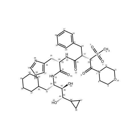 CS(=O)(=O)[C@H](C(=O)N1CCOCC1)C(Cc1ccccc1)C(=O)N[C@@H](Cc1c[nH]cn1)C(=O)N[C@@H](CC1CCCCC1)[C@@H](O)[C@@H](O)C1CC1